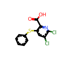 O=C(O)c1nc(Cl)c(Cl)cc1Sc1ccccc1